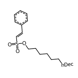 CCCCCCCCCCCCCCCCOS(=O)(=O)C=Cc1ccccc1